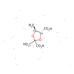 C[C@@H]1OC(C(=O)O)(C(=O)O)O[C@H]1C(=O)O